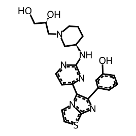 OC[C@H](O)CN1CCC[C@@H](Nc2nccc(-c3c(-c4cccc(O)c4)nc4sccn34)n2)C1